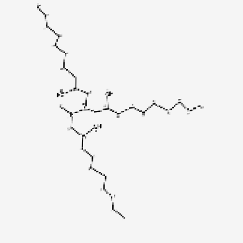 CCCCCCCCC(O)CN(C)N(CC(O)CCCCCCCC)CC(O)CCCCCCCC